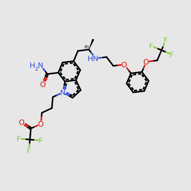 C[C@H](Cc1cc(C(N)=O)c2c(ccn2CCCOC(=O)C(F)(F)F)c1)NCCOc1ccccc1OCC(F)(F)F